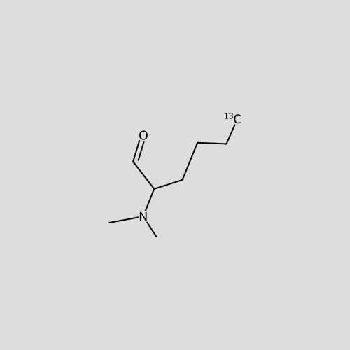 CN(C)C(C=O)CCC[13CH3]